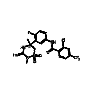 CN1C(=N)N[C@](C)(c2cc(NC(=O)c3ncc(C(F)(F)F)cc3Cl)ccc2F)CS1(=O)=O